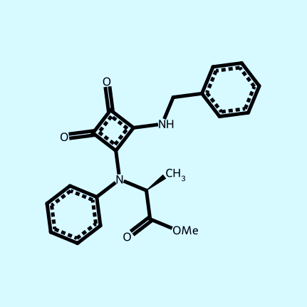 COC(=O)[C@H](C)N(c1ccccc1)c1c(NCc2ccccc2)c(=O)c1=O